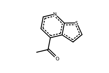 CC(=O)c1ccnc2sccc12